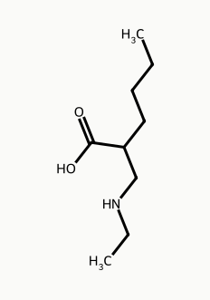 CCCCC(CNCC)C(=O)O